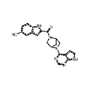 N#Cc1ccc2[nH]c(C(=O)N3CC4CC3CN4c3ncnc4[nH]ccc34)cc2c1